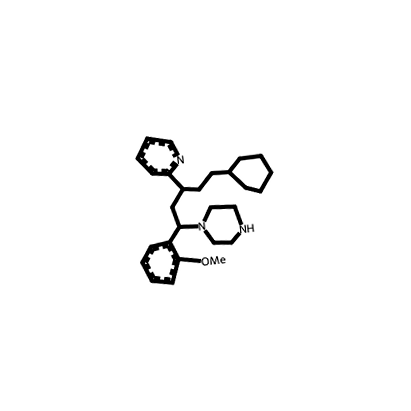 COc1ccccc1C(CC(CCC1CCCCC1)c1ccccn1)N1CCNCC1